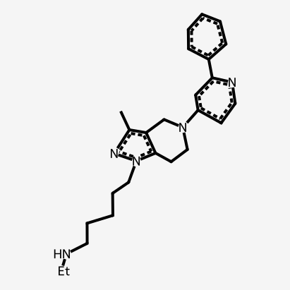 CCNCCCCCn1nc(C)c2c1CCN(c1ccnc(-c3ccccc3)c1)C2